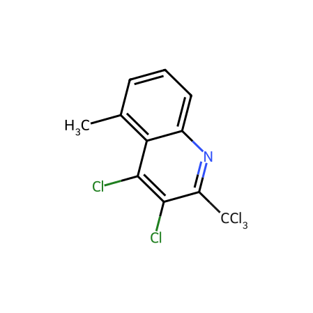 Cc1cccc2nc(C(Cl)(Cl)Cl)c(Cl)c(Cl)c12